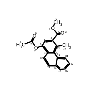 COC(=O)c1cc(OC(C)=O)c2ccc3ccccc3c2c1C